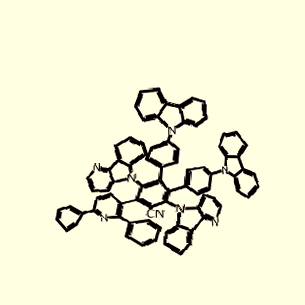 N#Cc1c(-c2ccc(-c3ccccc3)nc2-c2ccccc2)c(-n2c3ccccc3c3ncccc32)c(-c2ccc(-n3c4ccccc4c4ccccc43)cc2)c(-c2ccc(-n3c4ccccc4c4ccccc43)cc2)c1-n1c2ccccc2c2ncccc21